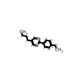 CCCCc1cnc(-c2ccc(CC)cc2)nc1